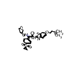 CN(C)CCOc1ccc2nc(NC(=O)/C(=N/O[C@@H]3CCOC3)c3ccc(S(=O)(=O)C4CC4)cc3)sc2c1